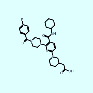 O=C(O)CC1CCCN(c2ccc(C(=O)NC3CCCCC3)c(N3CCN(C(=O)c4ccc(F)cc4)CC3)n2)C1